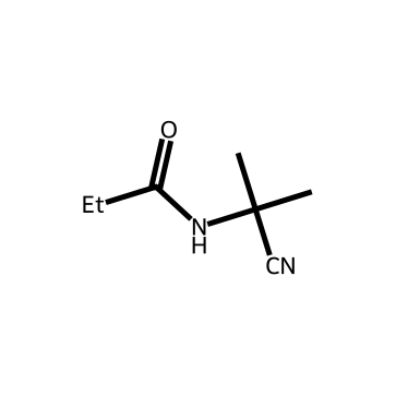 CCC(=O)NC(C)(C)C#N